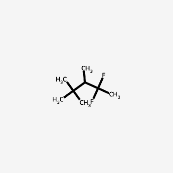 CC(C(C)(C)C)C(C)(F)F